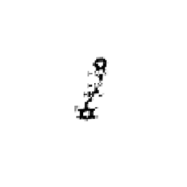 O=C(NCCc1c(F)c(F)cc(F)c1F)NSc1nc2ccccc2[nH]1